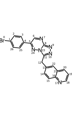 Brc1ccc(-c2cnc3nnc(Cc4ccc5ncccc5c4)n3n2)cc1